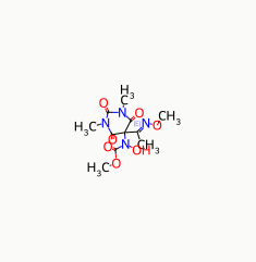 CO/N=C(\C)C1(N(O)C(=O)OC)C(=O)N(C)C(=O)N(C)C1=O